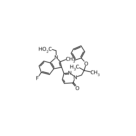 Cc1c(-c2ccc(=O)n(CC(C)(C)Oc3ccccc3)n2)c2cc(F)ccc2n1CC(=O)O